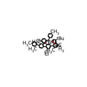 CCCCC1C=C(C(C)(C)C)C=[C]1[Zr+2](=[C](c1ccc(C)cc1)c1ccc(C)cc1)[c]1c(-c2c(C)cc(C)cc2C)ccc2c1Cc1cc(-c3c(C)cc(C)cc3C)ccc1-2.[Cl-].[Cl-]